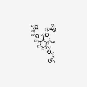 C=Cc1c(COCC2CO2)ccc(COCC2CO2)c1COCC1CO1